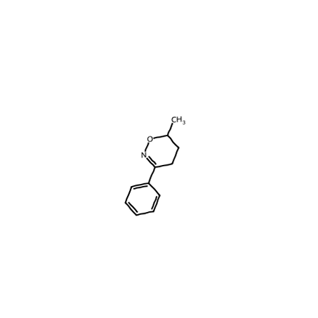 CC1CCC(c2ccccc2)=NO1